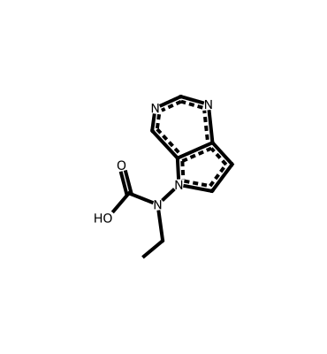 CCN(C(=O)O)n1ccc2ncncc21